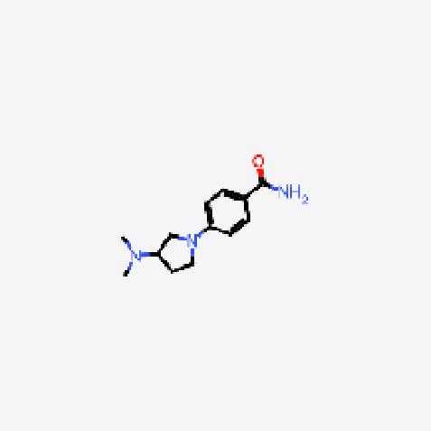 CN(C)C1CCN(c2ccc(C(N)=O)cc2)C1